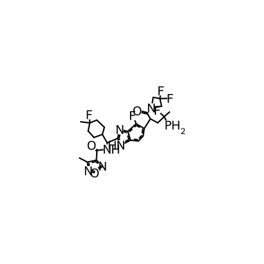 Cc1nonc1C(=O)N[C@H](c1nc2c(F)c(C(CC(C)(F)P)C(=O)N3CC(F)(F)C3)ccc2[nH]1)C1CCC(C)(F)CC1